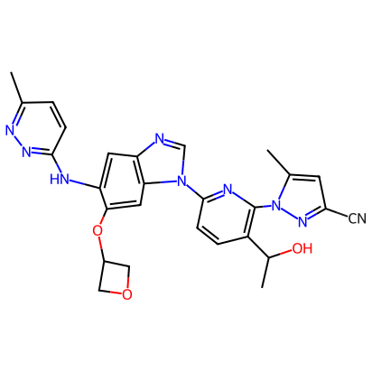 Cc1ccc(Nc2cc3ncn(-c4ccc(C(C)O)c(-n5nc(C#N)cc5C)n4)c3cc2OC2COC2)nn1